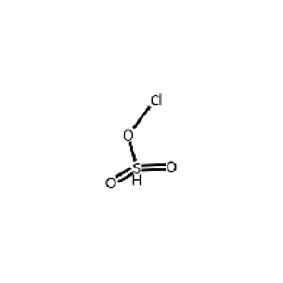 O=[SH](=O)OCl